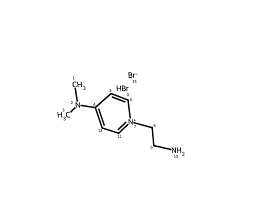 Br.CN(C)c1cc[n+](CCN)cc1.[Br-]